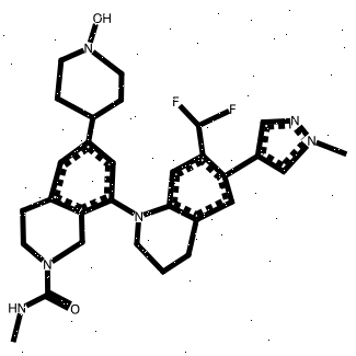 CNC(=O)N1CCc2cc(C3CCN(O)CC3)cc(N3CCCc4cc(-c5cnn(C)c5)c(C(F)F)cc43)c2C1